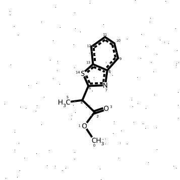 COC(=O)C(C)c1nc2ccccc2s1